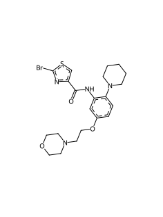 O=C(Nc1cc(OCCN2CCOCC2)ccc1N1CCCCC1)c1csc(Br)n1